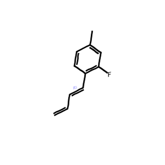 C=C/C=C/c1ccc(C)cc1F